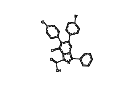 O=C(O)c1nn(-c2ccccc2)c2nc(-c3ccc(Br)cc3)n(-c3ccc(Cl)cc3)c(=O)c12